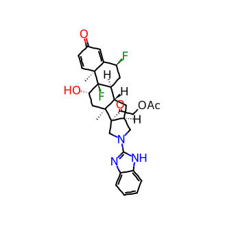 CC(=O)OCC(=O)[C@@]12CN(c3nc4ccccc4[nH]3)C[C@@H]1C[C@H]1[C@@H]3C[C@H](F)C4=CC(=O)C=C[C@]4(C)[C@@]3(F)[C@@H](O)C[C@@]12C